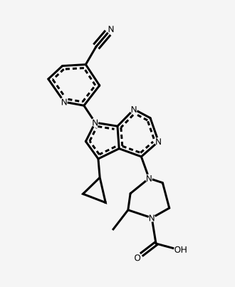 CC1CN(c2ncnc3c2c(C2CC2)cn3-c2cc(C#N)ccn2)CCN1C(=O)O